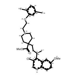 COC(=O)C1(CC[C@@H](F)c2c(Cl)cnc3ccc(OC)cc23)CCN(CCOc2cc(F)ccc2F)CC1